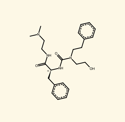 CN(C)CCNC(=O)[C@H](Cc1ccccc1)NC(=O)N(CCO)CCc1ccccc1